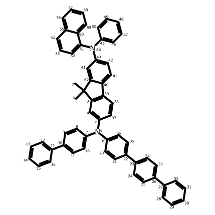 CC1(C)c2cc(N(c3ccc(-c4ccccc4)cc3)c3ccc(-c4ccc(-c5ccccc5)cc4)cc3)ccc2-c2ccc(N(c3ccccc3)c3cccc4ccccc34)cc21